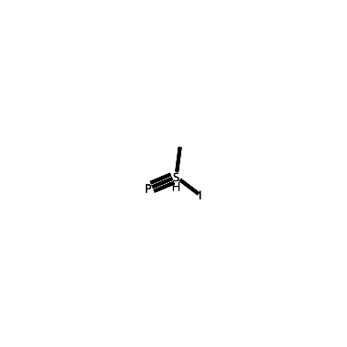 C[SH](#P)I